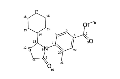 COC(=O)c1ccc(N2C(=O)CSC2C2CCCCC2)c(C)c1